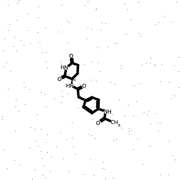 CC(=O)Nc1ccc(CC(=O)N[C@@H]2CCC(=O)NC2=O)cc1